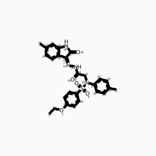 CCOc1ccc(S(=O)(=O)N(CC(=O)N/N=C2\C(=O)Nc3cc(C)ccc32)c2ccc(C)cc2)cc1